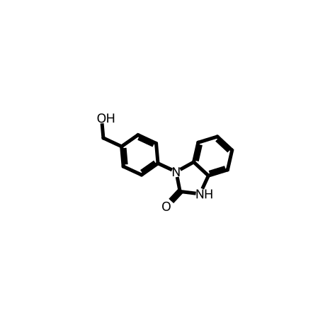 O=c1[nH]c2ccccc2n1-c1ccc(CO)cc1